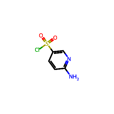 Nc1ccc(S(=O)(=O)Cl)cn1